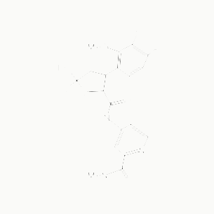 CNC(=O)c1cc(NC(=O)C2OC(C)(C(F)(F)F)CC2c2ccc(F)c(Cl)c2OC)ccn1